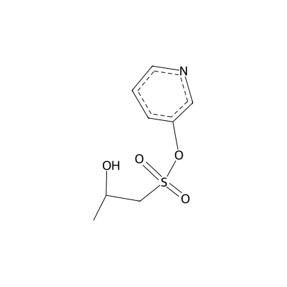 CC(O)CS(=O)(=O)Oc1cccnc1